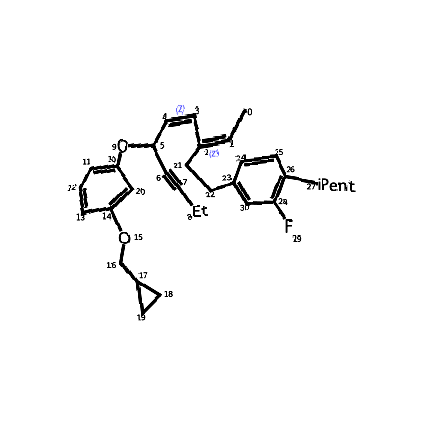 C/C=C(\C=C/C(C#CCC)Oc1cccc(OCC2CC2)c1)CCc1ccc(C(C)CCC)c(F)c1